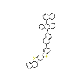 c1ccc2c(-c3c4ccccc4c(-c4ccc5cc(-c6ccc7sc8cc9c(cc8c7c6)sc6c7ccccc7ccc96)ccc5c4)c4ccccc34)cccc2c1